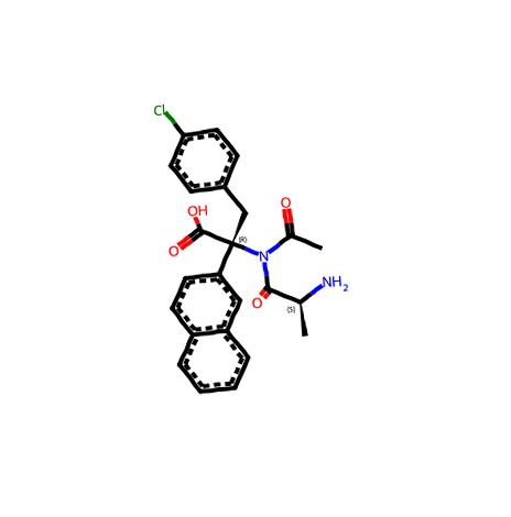 CC(=O)N(C(=O)[C@H](C)N)[C@@](Cc1ccc(Cl)cc1)(C(=O)O)c1ccc2ccccc2c1